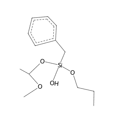 CCCO[Si](O)(Cc1ccccc1)OC(C)OC